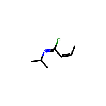 C/C=C\C(Cl)=N/C(C)C